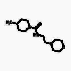 CC1CCN(C(=O)NCCN2CCOCC2)CC1